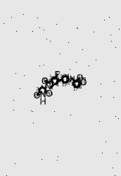 O=C1CCC(N2Cc3cc(C4CCN(Cc5cccc6c5OCO6)CC4)c(F)cc3C2=O)C(=O)N1